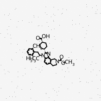 COC(=O)N1CCc2ccc3c(nc([C@H]4CC[C@H](C(=O)O)CC4)n3[C@@H](C)Cc3c(C)cccc3C)c2C1